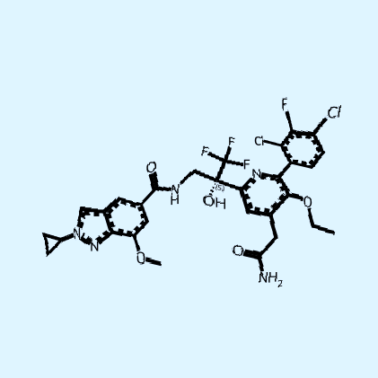 CCOc1c(CC(N)=O)cc([C@@](O)(CNC(=O)c2cc(OC)c3nn(C4CC4)cc3c2)C(F)(F)F)nc1-c1ccc(Cl)c(F)c1Cl